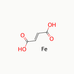 O=C(O)C=CC(=O)O.[Fe]